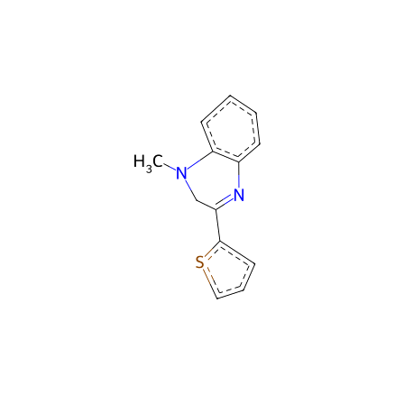 CN1CC(c2cccs2)=Nc2ccccc21